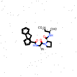 CC(C)[C@H](NC(=O)c1cccc2c1Cc1ccccc1-2)C(=O)N1CCC[C@H]1C(=O)N[C@H](C=O)CC(=O)O